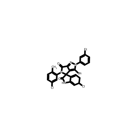 CCc1cccc(-n2nc3c(c2C(C)C)C2(C(=O)NC4=CC(Cl)CC=C42)N(c2cc(Cl)ccc2C)C3=O)c1